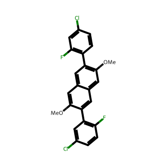 COc1cc2cc(-c3cc(Cl)ccc3F)c(OC)cc2cc1-c1ccc(Cl)cc1F